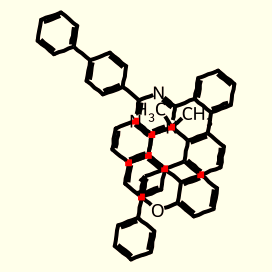 CC1(C)c2ccccc2C2(c3ccccc3Oc3ccccc32)c2cccc(-c3ccccc3-c3nc(-c4ccc(-c5ccccc5)cc4)nc(-c4ccc(-c5ccccc5)cc4)n3)c21